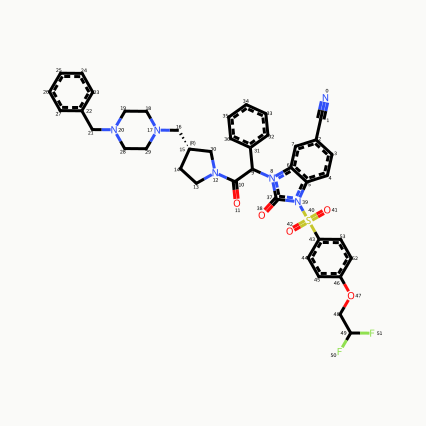 N#Cc1ccc2c(c1)n(C(C(=O)N1CC[C@H](CN3CCN(Cc4ccccc4)CC3)C1)c1ccccc1)c(=O)n2S(=O)(=O)c1ccc(OCC(F)F)cc1